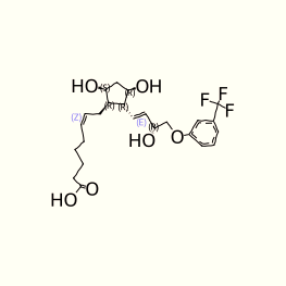 O=C(O)CCCC/C=C\C[C@@H]1[C@@H](/C=C/[C@@H](O)COc2cccc(C(F)(F)F)c2)[C@H](O)C[C@@H]1O